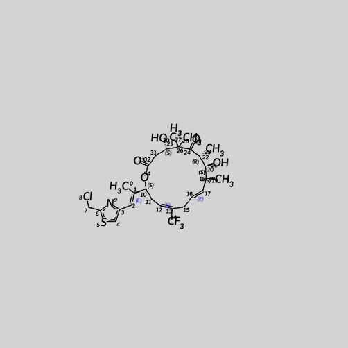 C/C(=C\c1csc(CCl)n1)[C@@H]1C/C=C(/C(F)(F)F)C/C=C/[C@H](C)[C@H](O)[C@@H](C)C(=O)C(C)(C)[C@@H](O)CC(=O)O1